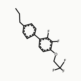 CCCc1ccc(-c2ccc(OCC(F)(F)F)c(F)c2F)cc1